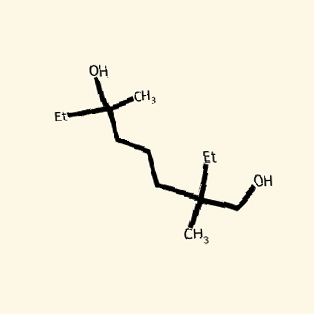 CCC(C)(O)CCCC(C)(CC)CO